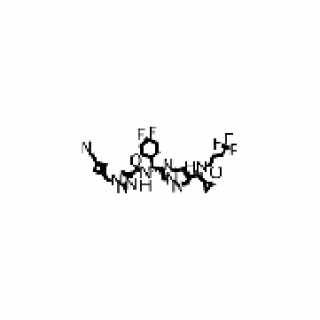 N#CC12CC(Cn3cc(C(=O)N[C@H](c4cn5ncc([C@H](NC(=O)CCC(F)(F)F)C6CC6)cc5n4)C4CCC(F)(F)CC4)nn3)(C1)C2